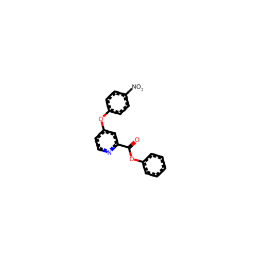 O=C(Oc1ccccc1)c1cc(Oc2ccc([N+](=O)[O-])cc2)ccn1